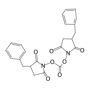 O=C(ON1C(=O)CC(Cc2ccccc2)C1=O)ON1C(=O)CC(Cc2ccccc2)C1=O